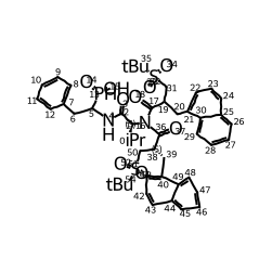 CC(C)[C@@H](C(=O)NC(Cc1ccccc1)[PH](=O)O)N(C(=O)C(Cc1cccc2ccccc12)CS(=O)(=O)C(C)(C)C)C(=O)[C@H](Cc1cccc2ccccc12)CS(=O)(=O)C(C)(C)C